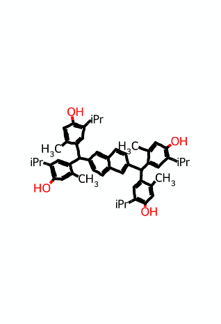 Cc1cc(O)c(C(C)C)cc1C(c1ccc2cc(C(c3cc(C(C)C)c(O)cc3C)c3cc(C(C)C)c(O)cc3C)ccc2c1)c1cc(C(C)C)c(O)cc1C